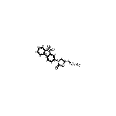 CC(=O)NC[C@H]1CN(c2ccc3c(c2)S(=O)(=O)c2ccccc2-3)C(=O)O1